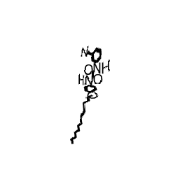 CCCCCCCCCCCCOc1ccc(NC(=O)C(=O)Nc2cccc(C#N)c2)cc1